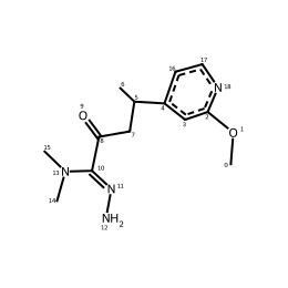 COc1cc(C(C)CC(=O)C(=NN)N(C)C)ccn1